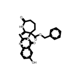 Cc1nc2ccc(O)cc2c(=O)n1C1(C(=O)OCc2ccccc2)CCCC(=O)NC1=O